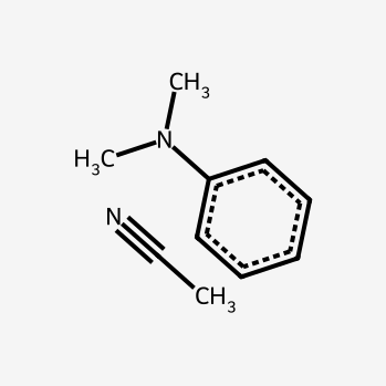 CC#N.CN(C)c1ccccc1